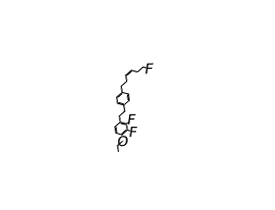 CCOc1ccc(CCc2ccc(CC/C=C\CCF)cc2)c(F)c1F